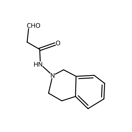 O=CCC(=O)NN1CCc2ccccc2C1